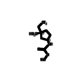 CC(C)(C)OC(=O)N[C@@H]1CC[C@](CC(F)(F)F)(C(=O)O)C1